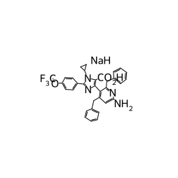 Nc1cc(Cc2ccccc2)c(-c2nc(-c3ccc(OC(F)(F)F)cc3)n(C3CC3)c2C(=O)O)c(Cc2ccccc2)n1.[NaH]